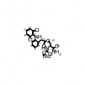 C[C@@H](OC(=O)Cc1ccccc1Nc1c(Cl)cccc1Cl)[C@H](NC(=O)OC(C)(C)C)C(N)=O